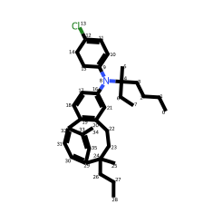 CCCCC(C)(CC)N(C1=CC=C(Cl)CC1)c1ccc2c(c1)CCC(C)(CCC)c1ccc-2c(C)c1